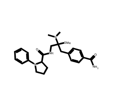 CSC(CNC(=O)C1CCCN1c1ccccc1)(Cc1ccc(C(N)=O)cc1)N(C)C